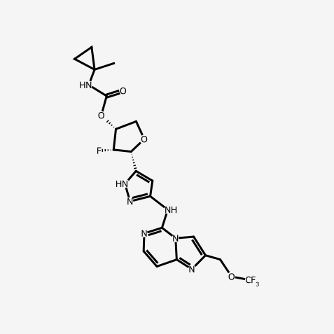 CC1(NC(=O)O[C@@H]2CO[C@H](c3cc(Nc4nccc5nc(COC(F)(F)F)cn45)n[nH]3)[C@@H]2F)CC1